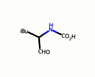 CCC(C)C(C=O)NC(=O)O